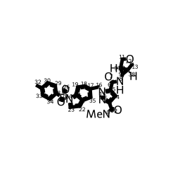 CNC(=O)c1cc(C(=O)NC2[C@H]3COC[C@@H]23)n(Cc2ccc3c(ccn3S(=O)(=O)c3ccc(C)cc3)c2)n1